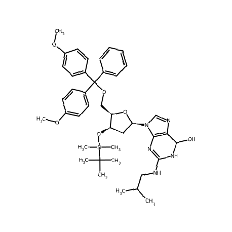 COc1ccc(C(OC[C@H]2O[C@@H](n3cnc4c3N=C(NCC(C)C)NC4O)[CH][C@H]2O[Si](C)(C)C(C)(C)C)(c2ccccc2)c2ccc(OC)cc2)cc1